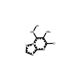 CCCCc1c(Cl)nc2ncnn2c1NC(C)C